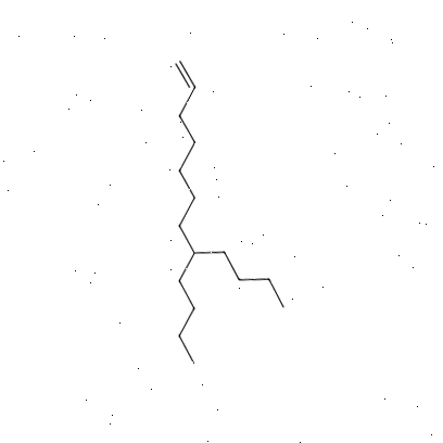 C=CCCCCCC(CCCC)CCCC